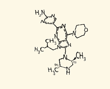 CC(C)Cn1c(N2C[C@@H](C)NC[C@@H]2C)nc2c(N3CCOCC3)nc(-c3cnc(N)nc3)nc21